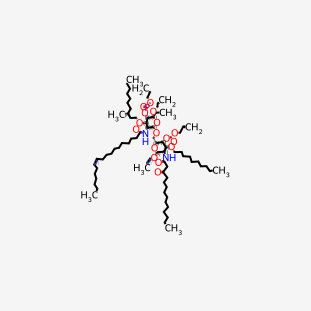 C=CCOC(=O)O[C@H]1[C@H](OCCCCCCCCCC)[C@@H](NC(=O)CC(=O)CCCCCCCCCCC)[C@@H](O/C=C\C)O[C@@H]1CO[C@@H]1O[C@H](CC)[C@@H](OP(=O)(OCC=C)OCC=C)[C@H](OCC[C@H](C)CCCCCCC)[C@H]1NC(=O)CCCCCCCCC/C=C\CCCCCC